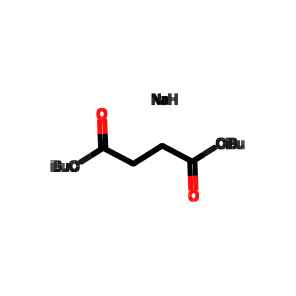 CC(C)COC(=O)CCC(=O)OCC(C)C.[NaH]